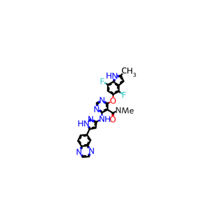 CNC(=O)c1c(Nc2cc(-c3ccc4nccnc4c3)[nH]n2)ncnc1Oc1cc(F)c2[nH]c(C)cc2c1F